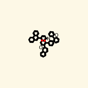 C1=Cc2cc(-c3ccc(N(c4ccccc4-c4cccc5oc6c7ccccc7ccc6c45)c4cccc5oc6ccccc6c45)cc3)c3ccccc3c2CC1